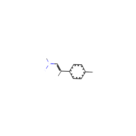 CCc1ccc(/C(C)=C/N(N)CC)cc1